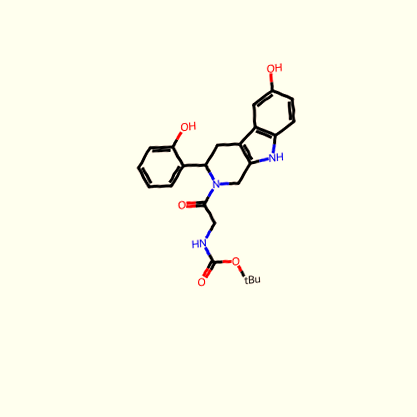 CC(C)(C)OC(=O)NCC(=O)N1Cc2[nH]c3ccc(O)cc3c2CC1c1ccccc1O